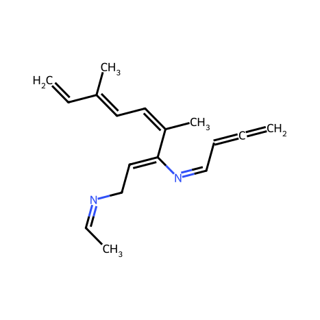 C=C=C\C=N/C(=C\C/N=C\C)C(/C)=C\C=C(/C)C=C